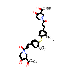 COC(=O)C1CN(C(=O)/C=C/c2ccc(Sc3ccc(/C=C/C(=O)N4CCC(=O)C(C(=O)OC)C4)cc3[N+](=O)[O-])c([N+](=O)[O-])c2)CCC1=O